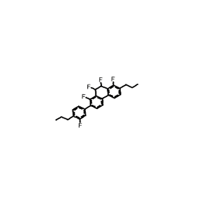 CCCc1ccc(-c2ccc3c(c2F)C(F)C(F)c2c-3ccc(CCC)c2F)cc1F